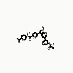 C=CC(=O)Nc1cncc(-c2cnc3[nH]cc(-c4ccc(C(=O)Nc5ccc(C(C)C)nc5)nc4)c3c2)c1